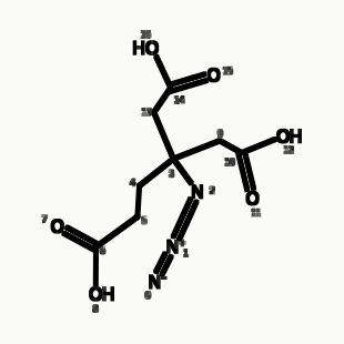 [N-]=[N+]=NC(CCC(=O)O)(CC(=O)O)CC(=O)O